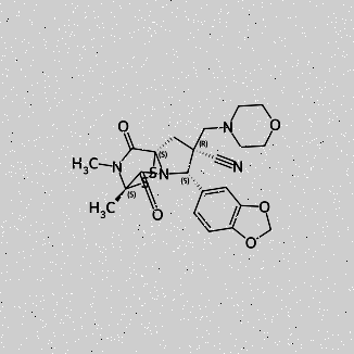 CN1C(=O)[C@@]23C[C@@](C#N)(CN4CCOCC4)[C@H](c4ccc5c(c4)OCO5)N2C(=O)[C@]1(C)SS3